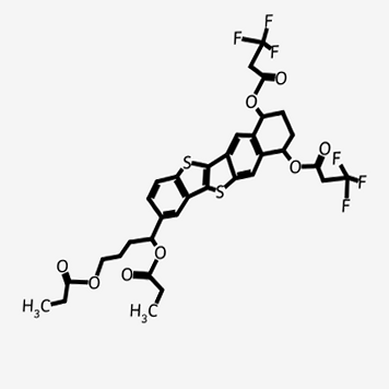 CCC(=O)OCCCC(OC(=O)CC)c1ccc2sc3c4cc5c(cc4sc3c2c1)C(OC(=O)CC(F)(F)F)CCC5OC(=O)CC(F)(F)F